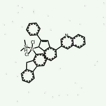 C[SiH](C)[Zr]([Cl])([Cl])([c]1cccc2c1Cc1ccccc1-2)[CH]1C(c2ccccc2)=Cc2c(-c3cnc4ccccc4c3)cccc21